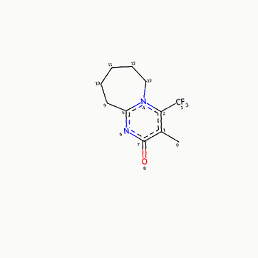 Cc1c(C(F)(F)F)n2c(nc1=O)CCCCC2